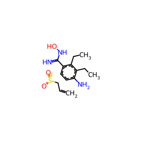 C=CC[SH](=O)=O.CCc1c(N)ccc(C(=N)NO)c1CC